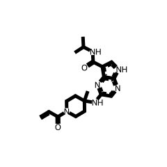 C=CC(=O)N1CCC(C)(Nc2cnc3[nH]cc(C(=O)NC(C)C)c3n2)CC1